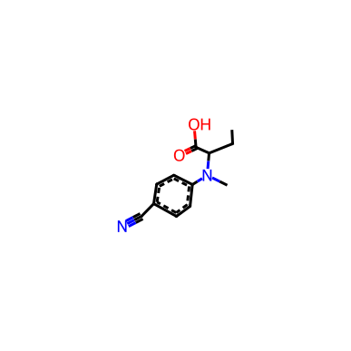 CCC(C(=O)O)N(C)c1ccc(C#N)cc1